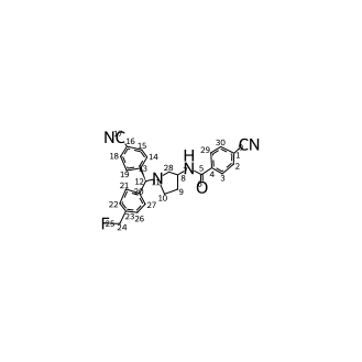 N#Cc1ccc(C(=O)NC2CCN([C@H](c3ccc(C#N)cc3)c3ccc(CF)cc3)C2)cc1